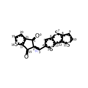 O=C1/C(=C\c2cc3sc4ccsc4c3s2)C(=O)c2sccc21